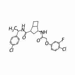 C[C@@H](NC(=O)C1C[C@H](NC(=O)COc2ccc(Cl)c(F)c2)C2CCC12)c1ccc(Cl)cc1